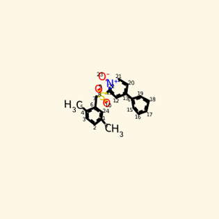 Cc1ccc(C)c(CS(=O)(=O)c2cc(-c3ccccc3)cc[n+]2[O-])c1